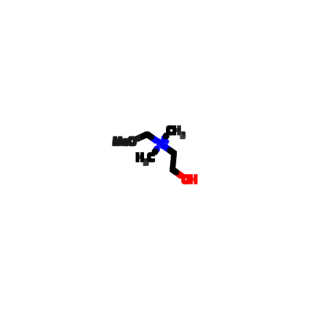 COC[N+](C)(C)CCO